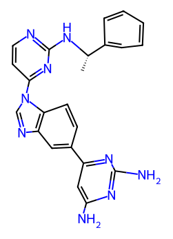 C[C@H](Nc1nccc(-n2cnc3cc(-c4cc(N)nc(N)n4)ccc32)n1)c1ccccc1